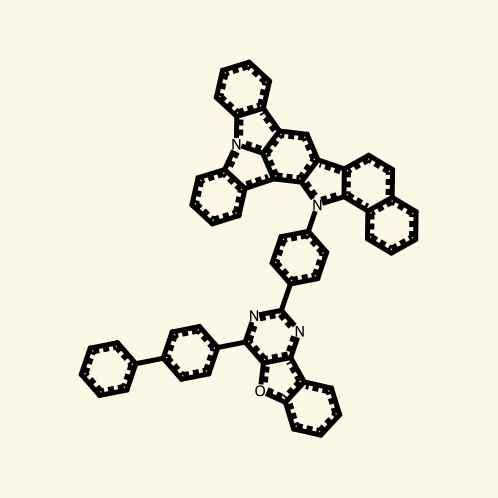 c1ccc(-c2ccc(-c3nc(-c4ccc(-n5c6c7ccccc7ccc6c6cc7c8ccccc8n8c9ccccc9c(c65)c78)cc4)nc4c3oc3ccccc34)cc2)cc1